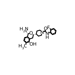 Cc1ccc2c(c1O)C[C@@H](C1CCN(C(=O)Nc3ccccc3F)CC1)O[C@H]2CN